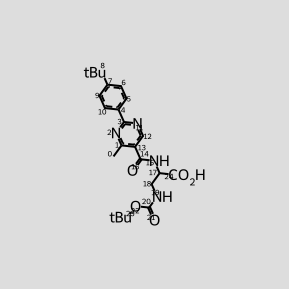 Cc1nc(-c2ccc(C(C)(C)C)cc2)ncc1C(=O)NC(CNC(=O)OC(C)(C)C)C(=O)O